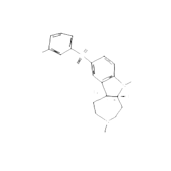 CCN1CC[C@@H]2[C@@H](CC1)c1cc(S(=O)(=O)c3cccc(F)c3)ccc1N2C